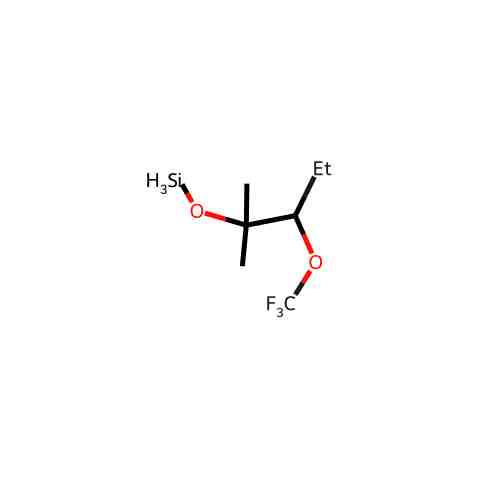 CCC(OC(F)(F)F)C(C)(C)O[SiH3]